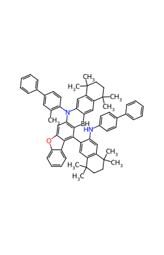 Cc1cc(-c2ccccc2)ccc1N1c2cc3c(cc2Bc2c1cc1oc4ccccc4c1c2-c1cc2c(cc1Nc1ccc(-c4ccccc4)cc1)C(C)(C)CCC2(C)C)C(C)(C)CCC3(C)C